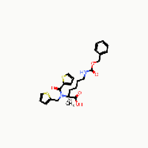 C[C@](CCCCNC(=O)OCc1ccccc1)(C(=O)O)N(Cc1cccs1)C(=O)c1cccs1